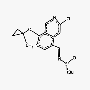 CC1(Oc2ncc(C=N[S@@+]([O-])C(C)(C)C)c3cc(Cl)ncc23)CC1